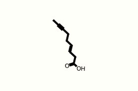 CC#CCCC=CCC(=O)O